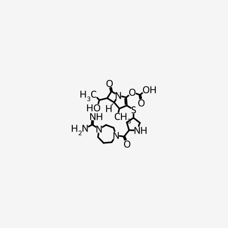 CC(O)C1C(=O)N2C(OC(=O)O)=C(SC3CNC(C(=O)N4CCCN(C(=N)N)CC4)C3)C(C)[C@@H]12